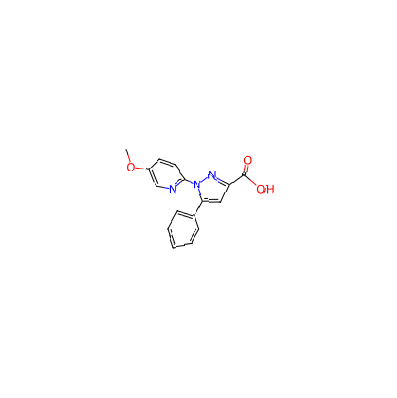 COc1ccc(-n2nc(C(=O)O)cc2-c2ccccc2)nc1